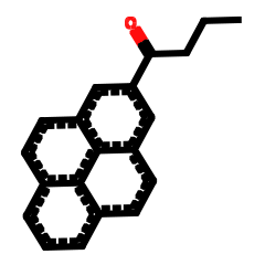 CCCC(=O)c1cc2ccc3cccc4ccc(c1)c2c34